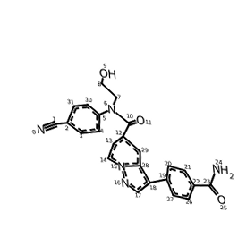 N#Cc1ccc(N(CCO)C(=O)c2ccn3ncc(-c4ccc(C(N)=O)cc4)c3c2)cc1